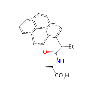 C=C(NC(=O)C(CC)c1ccc2ccc3cccc4ccc1c2c34)C(=O)O